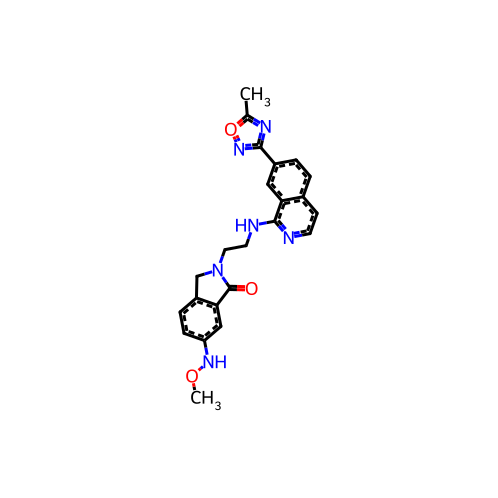 CONc1ccc2c(c1)C(=O)N(CCNc1nccc3ccc(-c4noc(C)n4)cc13)C2